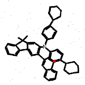 CC1(C)c2ccccc2-c2cc(-c3ccc4ccccc4c3)c(N(c3ccc(C4CCCCC4)cc3)c3ccc(C4CCCCC4)cc3)cc21